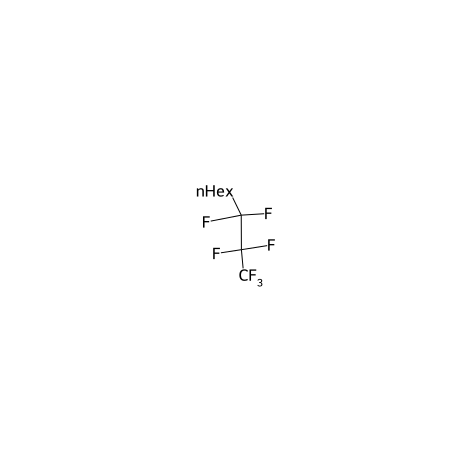 CCCCCCC(F)(F)C(F)(F)C(F)(F)F